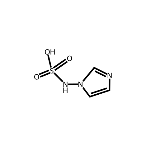 O=S(=O)(O)Nn1ccnc1